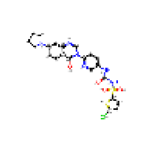 O=C(Nc1ccc(-n2cnc3cc(N4CCCC4)ccc3c2=O)nc1)NS(=O)(=O)c1ccc(Cl)s1